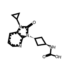 O=C(O)N[C@H]1C[C@H](n2c(=O)n(C3CC3)c3cccnc32)C1